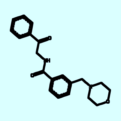 O=C(CNC(=O)c1cccc(CN2CCOCC2)c1)c1ccccc1